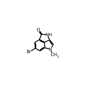 Cn1cc2c3c(cc(Br)cc31)C(=O)N2